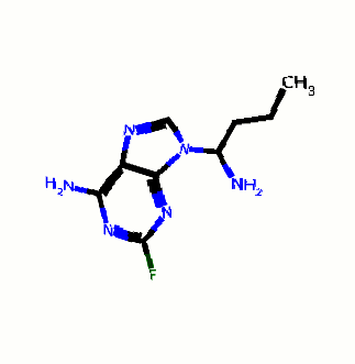 CCCC(N)n1cnc2c(N)nc(F)nc21